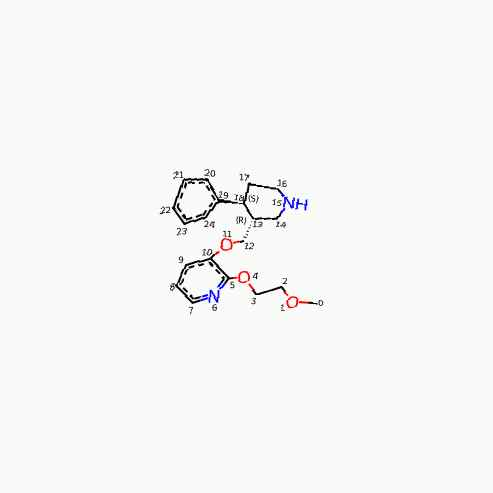 COCCOc1ncccc1OC[C@H]1CNCC[C@@H]1c1ccccc1